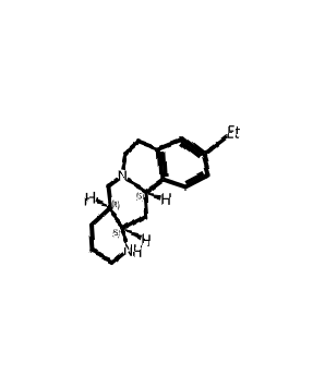 CCc1ccc2c(c1)CCN1C[C@H]3CCCN[C@H]3C[C@@H]21